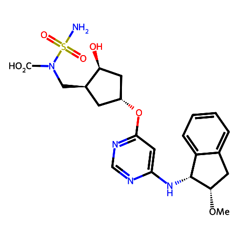 CO[C@H]1Cc2ccccc2[C@H]1Nc1cc(O[C@@H]2C[C@@H](CN(C(=O)O)S(N)(=O)=O)[C@@H](O)C2)ncn1